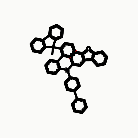 CC1(c2ccccc2-c2ccccc2N(c2ccc(-c3ccccc3)cc2)c2ccc3oc4ccccc4c3c2)c2ccccc2-c2ccccc21